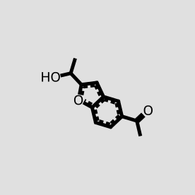 CC(=O)c1ccc2oc(C(C)O)cc2c1